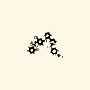 NC1CCC(Nc2nccc(-c3cccnc3Oc3cc(Cl)c(NS(=O)(=O)c4ccccc4Cl)cc3F)n2)CC1